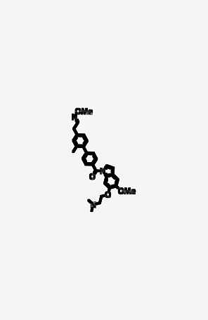 CON=CCc1ccc(-c2ccc(C(=O)n3ccc4cc(OC)c(OCCN(C)C)cc43)cc2)c(C)c1